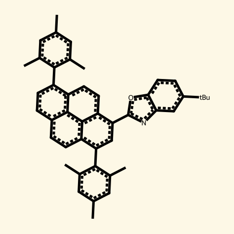 Cc1cc(C)c(-c2ccc3ccc4c(-c5c(C)cc(C)cc5C)cc(-c5nc6cc(C(C)(C)C)ccc6o5)c5ccc2c3c54)c(C)c1